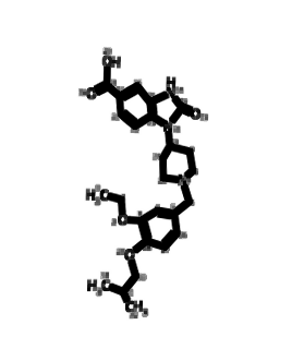 CCOc1cc(CN2CCC(n3c(=O)[nH]c4cc(C(=O)O)ccc43)CC2)ccc1OCC(C)C